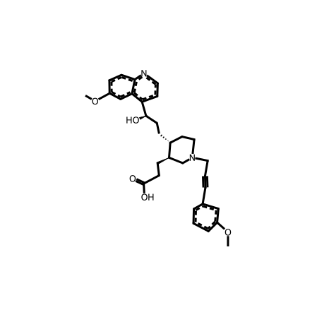 COc1cccc(C#CCN2CC[C@@H](CC[C@@H](O)c3ccnc4ccc(OC)cc34)[C@H](CCC(=O)O)C2)c1